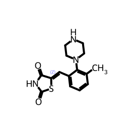 Cc1cccc(/C=C2\SC(=O)NC2=O)c1N1CCNCC1